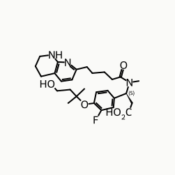 CN(C(=O)CCCCc1ccc2c(n1)NCCC2)[C@@H](CC(=O)O)c1ccc(OC(C)(C)CCO)c(F)c1